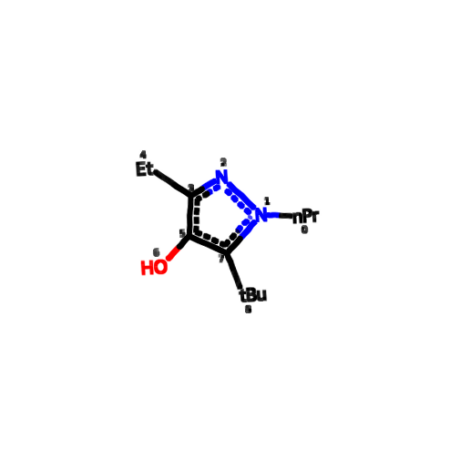 CCCn1nc(CC)c(O)c1C(C)(C)C